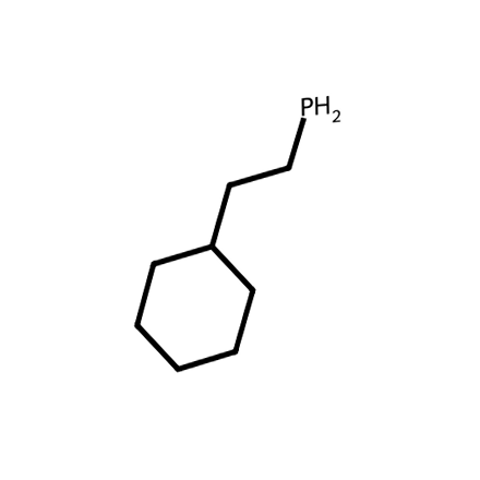 PCCC1CCCCC1